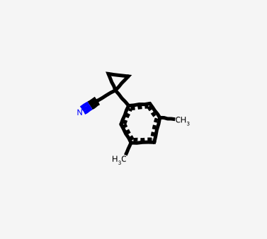 Cc1cc(C)cc(C2(C#N)CC2)c1